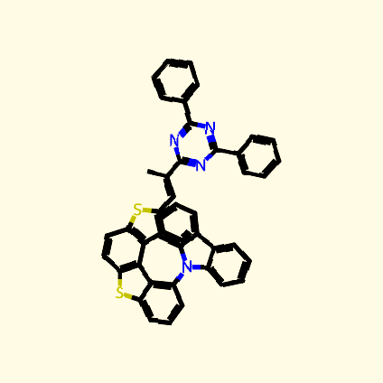 C=Cc1c(/C=C(\C)c2nc(-c3ccccc3)nc(-c3ccccc3)n2)sc2ccc3sc4cccc(-n5c6ccccc6c6ccccc65)c4c3c12